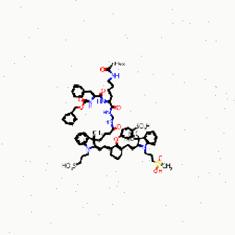 C=S(=O)(O)CCC[N+]1=C(/C=C/C2=C(Oc3ccc(S(=O)(=O)O)cc3)C(=C/C=C3/N(CCCS(=O)(=O)O)c4ccccc4C3(C)CCCC(=O)NCNC(=O)C(CCCCNC(=O)CCCCCC)NC(=O)C(Cc3ccccc3)NC(=O)OCc3ccccc3)/CCC2)C(C)(C)c2ccccc21